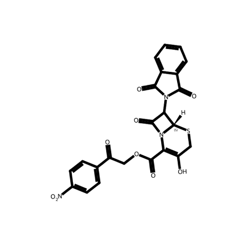 O=C(OCC(=O)c1ccc([N+](=O)[O-])cc1)C1=C(O)CS[C@H]2C(N3C(=O)c4ccccc4C3=O)C(=O)N12